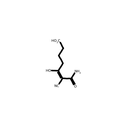 N#CC(C(N)=O)=C(O)CCCC(=O)O